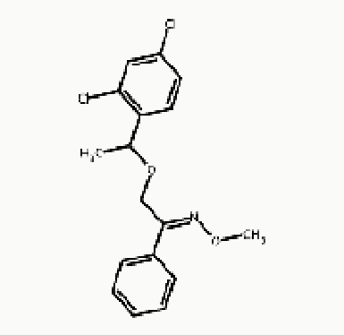 CON=C(COC(C)c1ccc(Cl)cc1Cl)c1ccccc1